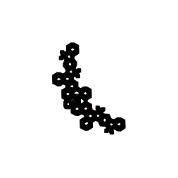 CC1(C)c2ccccc2-c2cc3c(cc21)-c1c(cc(-c2ccc4c(c2)N(c2c(-c5ccccc5)cccc2-c2ccccc2)c2cc(-c5cc6c(c7ccccc57)-c5cc7c(cc5C6(C)C)-c5ccccc5C7(C)C)ccc2O4)c2ccccc12)C3(C)C